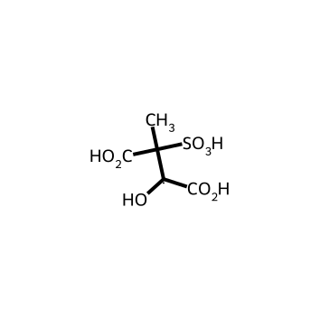 CC([C](O)C(=O)O)(C(=O)O)S(=O)(=O)O